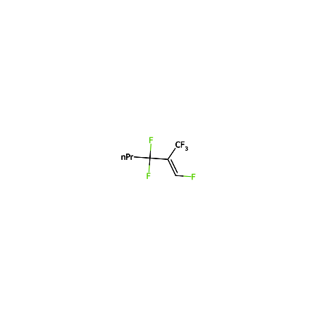 CCCC(F)(F)C(=CF)C(F)(F)F